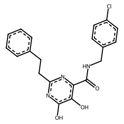 O=C(NCc1ccc(Cl)cc1)c1nc(CCc2ccccc2)nc(O)c1O